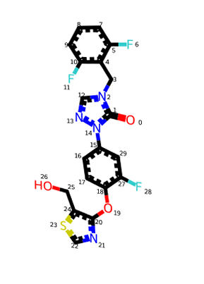 O=c1n(Cc2c(F)cccc2F)cnn1-c1ccc(Oc2ncsc2CO)c(F)c1